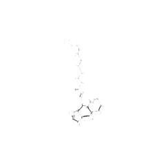 CCCCCCCCCCOc1c2c(cc3ccoc13)C=CCO2